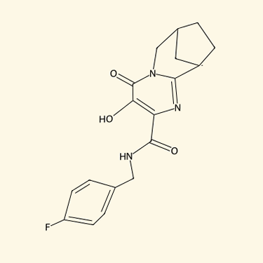 O=C(NCc1ccc(F)cc1)c1nc2n(c(=O)c1O)CC1CC[C]2C1